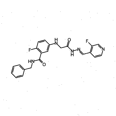 O=C(CNc1ccc(F)c(C(=O)NCc2ccccc2)c1)NN=Cc1ccncc1F